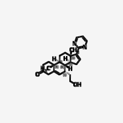 C[C@]12CCC(=O)CC1=C[C@@H](CCO)[C@@H]1[C@@H]2CC[C@]2(C)C(c3ncccn3)=CC[C@@H]12